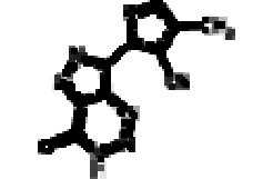 Cc1csc(-c2nsc3c(=O)[nH]nnc23)c1C#N